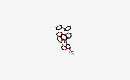 CC(C)(C)c1ccc(N(c2ccccc2-c2ccccc2-c2ccccc2-c2ccccc2)c2ccccc2-c2cccc3cccc(-c4ccccc4)c23)cc1